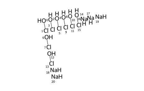 OCl.OCl.OCl.OCl.OCl.OCl.OCl.OCl.[NaH].[NaH].[NaH].[NaH].[NaH]